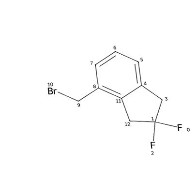 FC1(F)Cc2cccc(CBr)c2C1